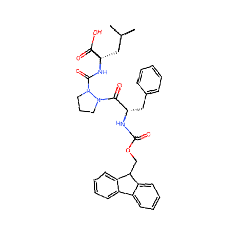 CC(C)C[C@H](NC(=O)N1CCCN1C(=O)[C@H](Cc1ccccc1)NC(=O)OCC1c2ccccc2-c2ccccc21)C(=O)O